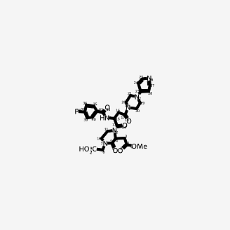 COC(=O)CC1C(=O)N(CC(=O)O)CCN1C(=O)C(CC(=O)N1CCN(c2ccncc2)CC1)NC(=O)c1ccc(F)cc1